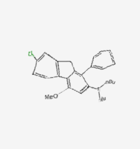 CCC[CH2][Ti]([CH2]CCC)[c]1cc(OC)c2c(c1-c1ccccc1)Cc1cc(Cl)ccc1-2